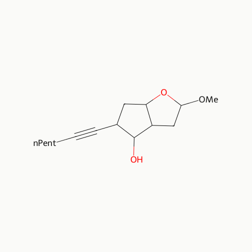 CCCCCC#CC1CC2OC(OC)CC2C1O